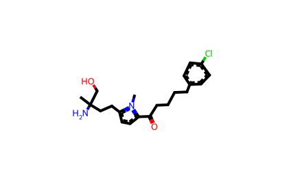 Cn1c(CCC(C)(N)CO)ccc1C(=O)CCCCc1ccc(Cl)cc1